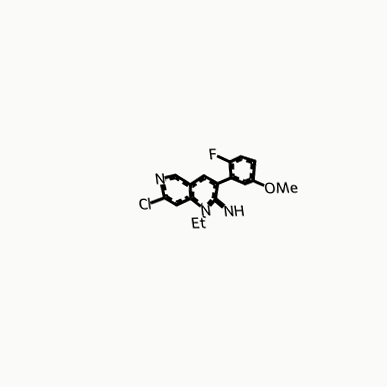 CCn1c(=N)c(-c2cc(OC)ccc2F)cc2cnc(Cl)cc21